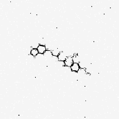 COc1ccc(NC(=O)NC(=O)COc2ccc3c(c2)OCO3)c(OC)c1